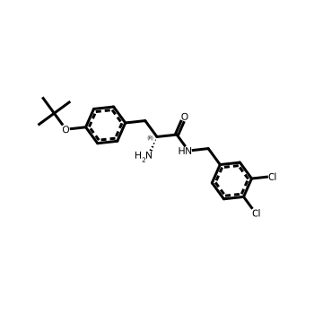 CC(C)(C)Oc1ccc(C[C@@H](N)C(=O)NCc2ccc(Cl)c(Cl)c2)cc1